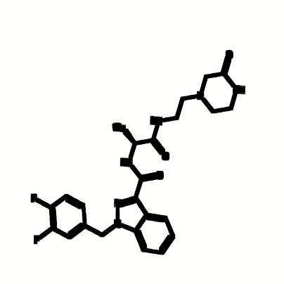 CC(C)(C)[C@H](NC(=O)c1nn(Cc2ccc(F)c(F)c2)c2ccccc12)C(=O)NCCN1CCNC(=O)C1